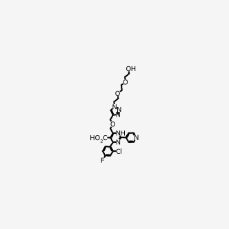 O=C(O)C1=C(COCc2cn(CCOCCOCCO)nn2)NC(c2ccncc2)=NC1c1ccc(F)cc1Cl